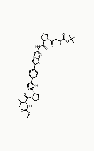 COC(=O)N[C@H](C(=O)N1CCC[C@H]1c1ncc(-c2ccc(-c3cn4cc(NC(=O)C5CCCN5C(=O)CNC(=O)OC(C)(C)C)nc4s3)cc2)[nH]1)C(C)C